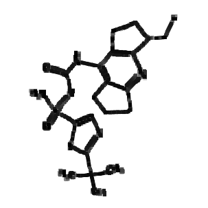 CC(C)(O)c1ncc(S(N)(=O)=NC(=O)Nc2c3c(nc4c2CCC4CF)CCC3)s1